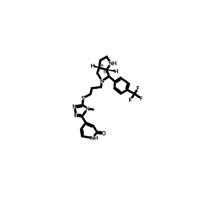 Cn1c(SCCCN2C[C@@H]3CCN[C@@H]3C2c2ccc(C(F)(F)F)cc2)nnc1-c1cc[nH]c(=O)c1